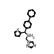 c1ccc(-c2ccc(C([SiH2]Cn3cncn3)c3cccs3)cc2)cc1